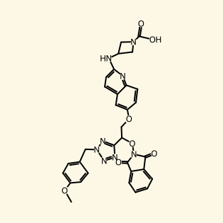 COc1ccc(Cn2nnc(C(COc3ccc4nc(NC5CN(C(=O)O)C5)ccc4c3)ON3C(=O)c4ccccc4C3=O)n2)cc1